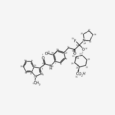 Cn1nc(C(=O)Nc2ccc(CC(=O)C(F)(O[C@H]3CC[C@H](C(=O)O)CC3)N3CCCC3)cc2Cl)c2ccccc21